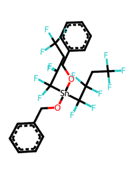 FC(F)(F)CC(F)(F)[C](F)(F)[Sn]([O]Cc1ccccc1)([O]Cc1ccccc1)[C](F)(F)C(F)(F)CC(F)(F)F